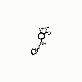 Cn1cnc2ccc(NCCN3CC=CC3)cc2c1=O